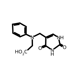 O=C(O)CN(Cc1c[nH]c(=O)[nH]c1=O)c1ccccc1